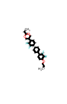 C=CCOc1ccc(C2=CC[C@@H](c3ccc(C4COC(CC)OC4)c(F)c3F)C=C2)c(F)c1F